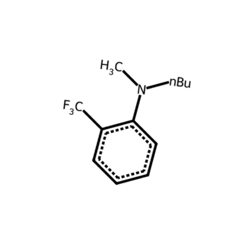 CCCCN(C)c1ccccc1C(F)(F)F